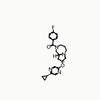 O=C(c1ccc(F)cc1)N1CCCN2C[C@@H](Oc3cnc(C4CC4)cn3)C[C@@H]2C1